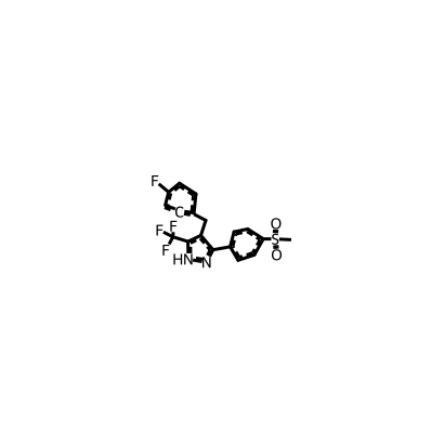 CS(=O)(=O)c1ccc(-c2n[nH]c(C(F)(F)F)c2Cc2ccc(F)cc2)cc1